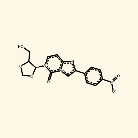 O=c1n([C@H]2OCOC2CO)ccc2nc(-c3ccc([N+](=O)[O-])cc3)cn12